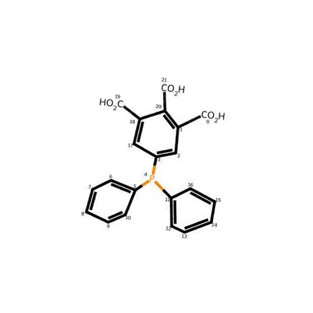 O=C(O)c1cc(P(c2ccccc2)c2ccccc2)cc(C(=O)O)c1C(=O)O